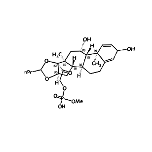 CCCC1O[C@@H]2C[C@H]3[C@@H]4CCC5=CC(O)C=C[C@]5(C)[C@H]4[C@@H](O)C[C@]3(C)[C@]2(C(=O)COP(=O)(O)OC)O1